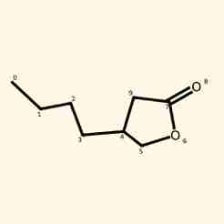 CCCCC1COC(=O)C1